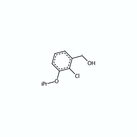 CC(C)Oc1cccc([CH]O)c1Cl